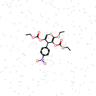 CCOC(=O)OC1=CSC(OCC)=C(OC(=O)OCC)C1c1ccc([N+](=O)[O-])cc1